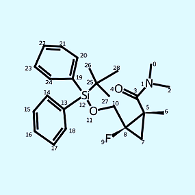 CN(C)C(=O)[C@]1(C)C[C@]1(F)CO[Si](c1ccccc1)(c1ccccc1)C(C)(C)C